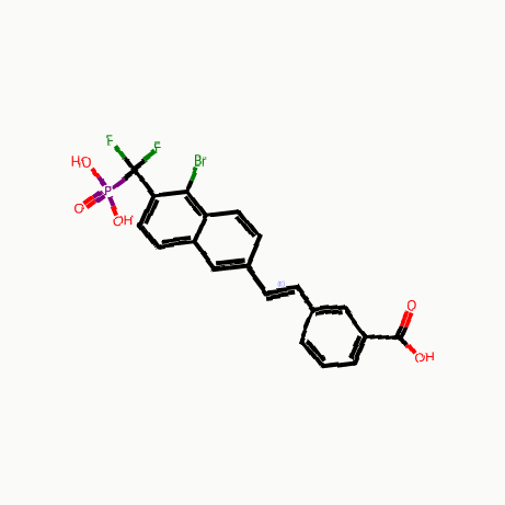 O=C(O)c1cccc(/C=C/c2ccc3c(Br)c(C(F)(F)P(=O)(O)O)ccc3c2)c1